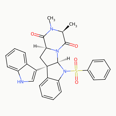 C[C@H]1C(=O)N2[C@@H](C[C@]3(c4c[nH]c5ccccc45)c4ccccc4N(S(=O)(=O)c4ccccc4)[C@H]23)C(=O)N1C